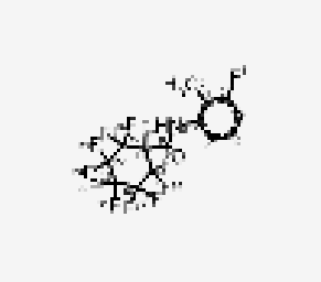 Cc1c(F)cccc1NC(=O)C1(F)C(F)(F)C(F)(F)C(F)(F)C(F)(F)C1(F)F